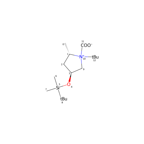 C[C@H]1C[C@H](O[Si](C)(C)C(C)(C)C)C[N+]1(C(=O)[O-])C(C)(C)C